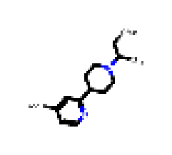 COCC(C)N1CCC(c2cc(OC)ccn2)CC1